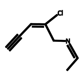 C#C/C=C(/Cl)C/N=C\C